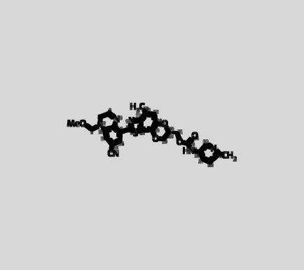 COCN1CC=Nc2c(-c3nc4c(C)cc5c(c4s3)OC[C@H](COC(=O)Nc3ccc(C)nc3)O5)cc(C#N)cc21